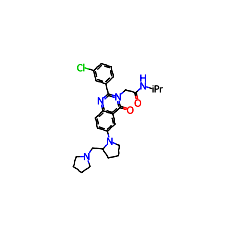 CC(C)NC(=O)Cn1c(-c2cccc(Cl)c2)nc2ccc(N3CCCC3CN3CCCC3)cc2c1=O